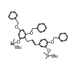 CC(C)(C)[Si](C)(C)Oc1cc(C=CCc2c(OCc3ccccc3)cc(OCc3ccccc3)cc2O[Si](C)(C)C(C)(C)C)ccc1OCc1ccccc1